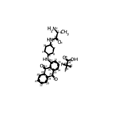 C[C@@H](N)C(=O)NC1CCC(Nc2cccc3c2C(=O)c2ccccc2C3=O)CC1.O=C(O)C(F)(F)F